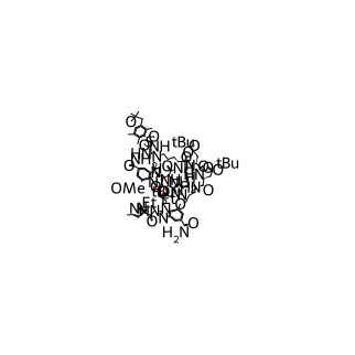 CCn1nc(C)cc1C(=O)Nc1nc2cc(C(N)=O)cc(OC)c2n1C/C=C/Cn1c(NC(=O)c2cc(C)nn2CC)nc2cc(C(N)=O)cc(OCCCNC(=O)[C@H](CC(=O)OC(C)(C)C)NC(=O)[C@H](CC(=O)OC(C)(C)C)NC(=O)[C@H](CCCNC(=N)NS(=O)(=O)c3c(C)c(C)c4c(c3C)CC(C)(C)O4)NC(=O)[C@@H](N)CC(=O)OC(C)(C)C)c21